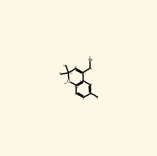 Cc1ccc2c(c1)C(CBr)=CC(C)(C)O2